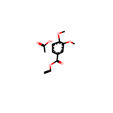 C=COC(=O)c1ccc(OC)c(OC)c1.CC(=O)O